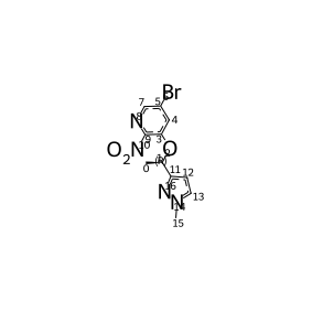 C[C@@H](Oc1cc(Br)cnc1[N+](=O)[O-])c1ccn(C)n1